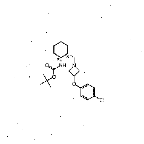 CC(C)(C)OC(=O)N[C@@H]1CCCC[C@@H]1CN1CC(Oc2ccc(Cl)cc2)C1